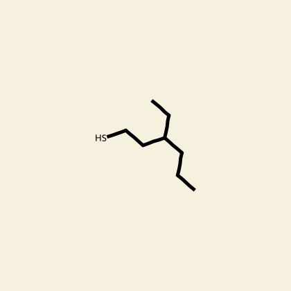 CCCC(CC)CCS